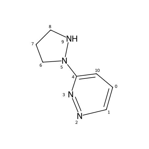 c1cnnc(N2CCCN2)c1